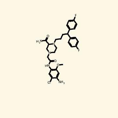 COc1cc(N)c(Cl)cc1NC(=O)CN1CCN(CCCC(c2ccc(F)cc2)c2ccc(F)cc2)C(C(N)=O)C1